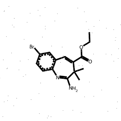 CCOC(=O)C1=Cc2cc(Br)ccc2N=C(N)C1(C)C